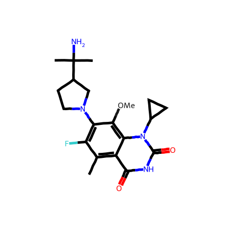 COc1c(N2CCC(C(C)(C)N)C2)c(F)c(C)c2c(=O)[nH]c(=O)n(C3CC3)c12